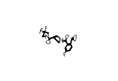 O=Cc1ccc(F)cc1C(=O)N1CC(C(=O)N2CC(F)(F)C2)C1